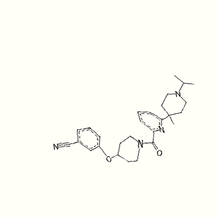 CC(C)N1CCC(C)(c2cccc(C(=O)N3CCC(Oc4cccc(C#N)c4)CC3)n2)CC1